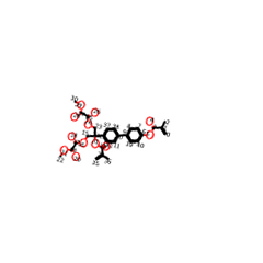 C=C(C)C(=O)Oc1ccc(-c2ccc(C(COC(=O)C(=O)OC)(COC(=O)C(=O)OC)OC(=O)C(=C)C)cc2)cc1